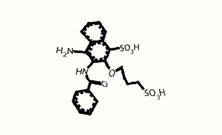 Nc1c(NC(=O)c2ccccc2)c(OCCCS(=O)(=O)O)c(S(=O)(=O)O)c2ccccc12